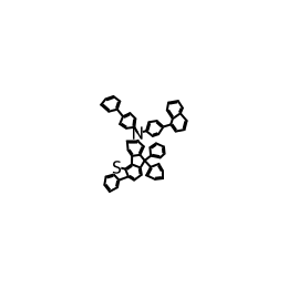 c1ccc(-c2ccc(N(c3ccc(-c4cccc5ccccc45)cc3)c3ccc4c(c3)C(c3ccccc3)(c3ccccc3)c3ccc5c(sc6ccccc65)c3-4)cc2)cc1